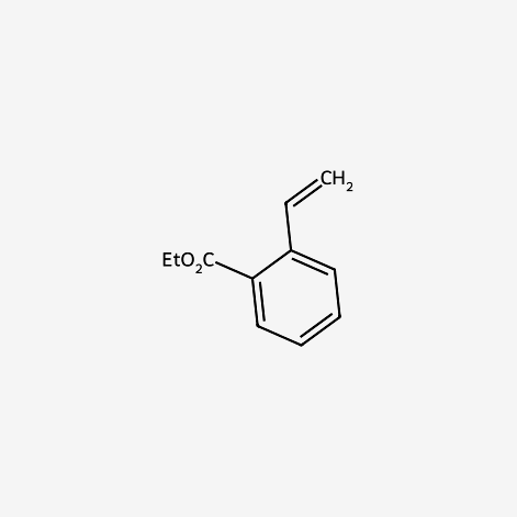 C=Cc1ccccc1C(=O)OCC